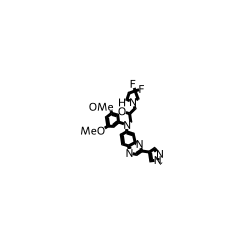 COc1cc(OC)cc(N(CC(O)CN2CCC(F)(F)C2)c2ccc3ncc(-c4cnn(C)c4)nc3c2)c1